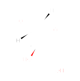 OC[C@H]1O[C@H]2CO[C@H]2[C@@H]1O